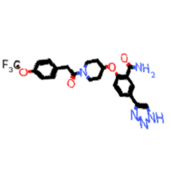 NC(=O)c1cc(-c2c[nH]nn2)ccc1OC1CCN(C(=O)Cc2ccc(OC(F)(F)F)cc2)CC1